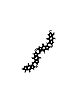 CC1=c2c(C)c3c(c(C)c2CC1=O)=C(CC1=c2c(C)c4c(c(C)c2CC1=O)=C(CC1=c2c(C)c5c(c(C)c2CC1=O)=C(CC1=c2c(C)c6c(c(C)c2CC1=O)=C(C)C(=O)C6)C(=O)C5)C(=O)C4)C(=O)C3